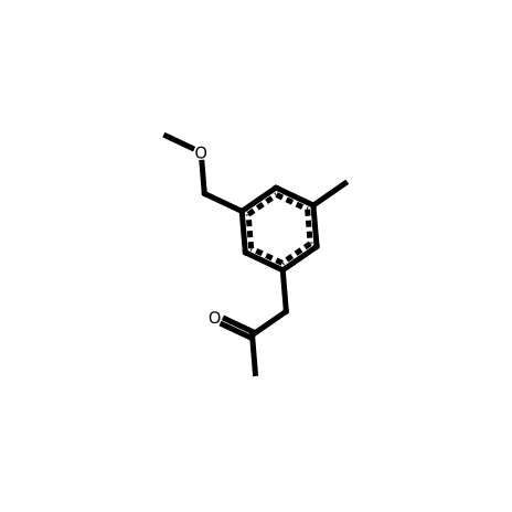 COCc1cc(C)cc(CC(C)=O)c1